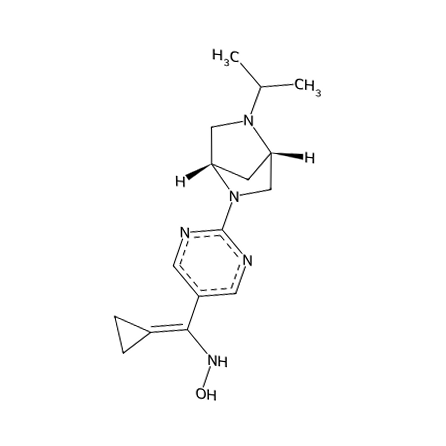 CC(C)N1C[C@@H]2C[C@H]1CN2c1ncc(C(NO)=C2CC2)cn1